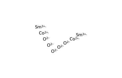 [Co+2].[Co+2].[O-2].[O-2].[O-2].[O-2].[O-2].[Sm+3].[Sm+3]